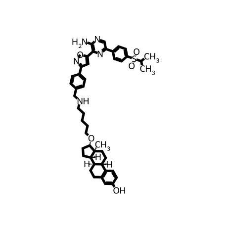 CC(C)S(=O)(=O)c1ccc(-c2cnc(N)c(-c3cc(-c4ccc(CNCCCCCO[C@H]5CC[C@H]6[C@@H]7CCc8cc(O)ccc8[C@H]7CC[C@]56C)cc4)no3)n2)cc1